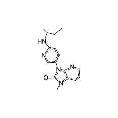 CCC(C)Nc1ccc(-n2c(=O)n(C)c3cccnc32)cn1